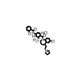 Cc1cc(NC(=O)c2ccccc2Cl)ccc1C(=O)N1CCCC(CCN2CCCC2)c2cc(Cl)ccc21.Cl